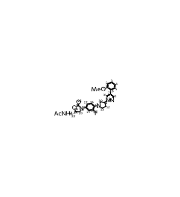 COc1ccccc1-c1cnn(C2CCN(c3ccc(N4C[C@H](CNC(C)=O)OC4=O)cc3F)C2)c1